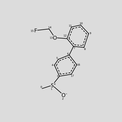 C[S+]([O-])c1ccc(-c2ccccc2OCF)cc1